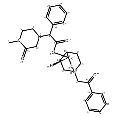 CN1CCN(C(C(=O)O[C@H]2C[N+]3(CC(=O)c4ccccc4)CCC2CC3)c2ccccc2)CC1=O